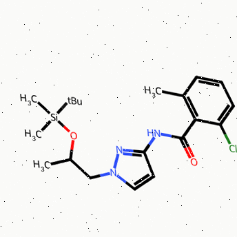 Cc1cccc(Cl)c1C(=O)Nc1ccn(CC(C)O[Si](C)(C)C(C)(C)C)n1